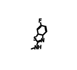 CNC1=NC2C=CC(F)=CC2S1